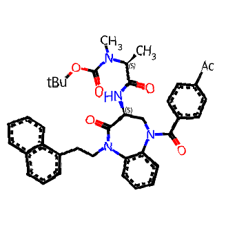 CC(=O)c1ccc(C(=O)N2C[C@H](NC(=O)[C@H](C)N(C)C(=O)OC(C)(C)C)C(=O)N(CCc3cccc4ccccc34)c3ccccc32)cc1